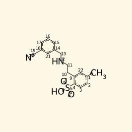 Cc1ccc(S(=O)(=O)O)c(CCNCc2cccc(C#N)c2)c1